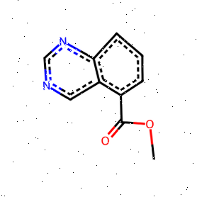 COC(=O)c1cccc2ncncc12